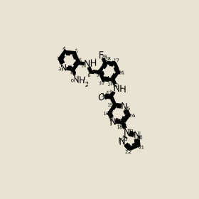 Nc1ncccc1NCc1cc(NC(=O)c2cnc(-n3nccn3)cn2)ccc1F